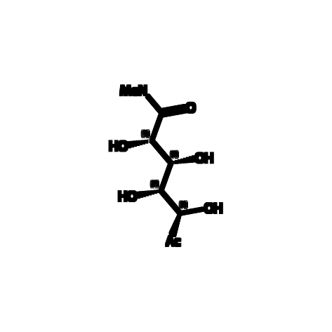 CNC(=O)[C@@H](O)[C@H](O)[C@@H](O)[C@@H](O)C(C)=O